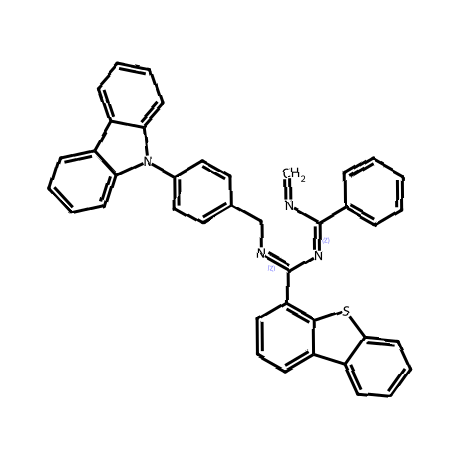 C=N/C(=N\C(=N/Cc1ccc(-n2c3ccccc3c3ccccc32)cc1)c1cccc2c1sc1ccccc12)c1ccccc1